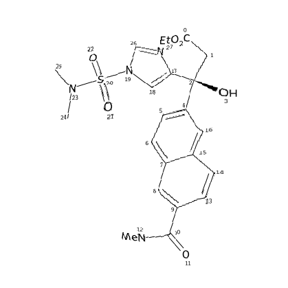 CCOC(=O)C[C@](O)(c1ccc2cc(C(=O)NC)ccc2c1)c1cn(S(=O)(=O)N(C)C)cn1